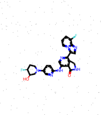 O=C1NCc2c(-c3cnc4c(F)cccn34)ncc(Nc3ccc(N4CC[C@H](F)[C@H](O)C4)cn3)c21